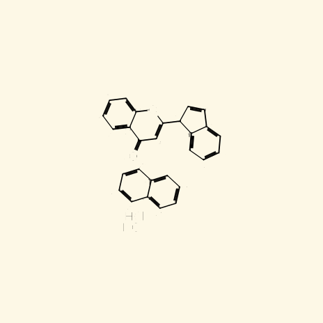 Cl.Cl.O=c1cc(C2C=Cc3ccccc32)oc2ccccc12.c1ccc2ccccc2c1